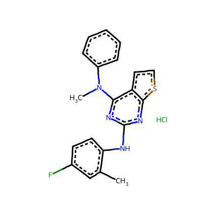 Cc1cc(F)ccc1Nc1nc(N(C)c2ccccc2)c2ccsc2n1.Cl